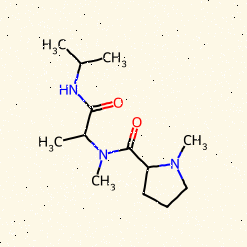 CC(C)NC(=O)C(C)N(C)C(=O)C1CCCN1C